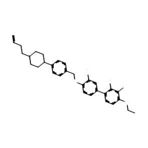 C=CCCC1CCC(c2ccc(COc3ccc(-c4ccc(OCC)c(F)c4F)cc3F)cc2)CC1